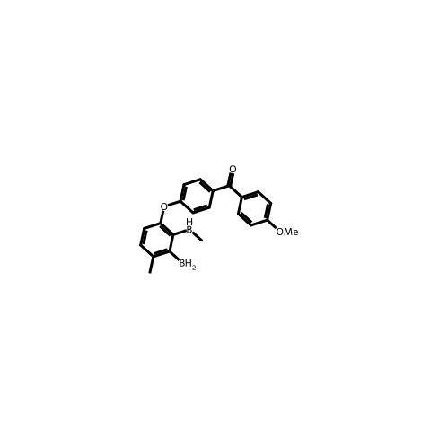 Bc1c(C)ccc(Oc2ccc(C(=O)c3ccc(OC)cc3)cc2)c1BC